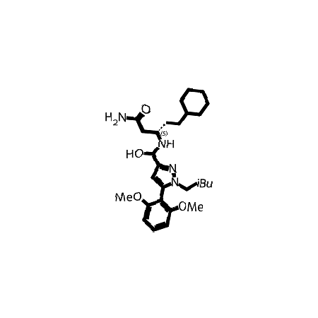 CCC(C)Cn1nc(C(O)N[C@@H](CCC2CCCCC2)CC(N)=O)cc1-c1c(OC)cccc1OC